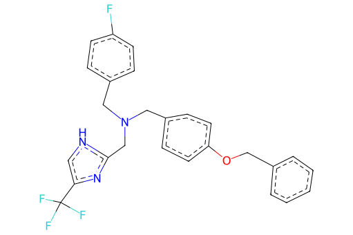 Fc1ccc(CN(Cc2ccc(OCc3ccccc3)cc2)Cc2nc(C(F)(F)F)c[nH]2)cc1